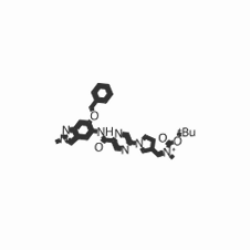 Cn1cc2cc(NC(=O)c3cnc(N4CCC(/C=[N+](/C)C(=O)OC(C)(C)C)C4)cn3)c(OCc3ccccc3)cc2n1